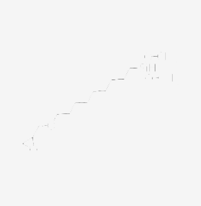 CO[SiH](CCCCCCCCCOCC1CO1)OC